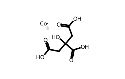 O=C(O)CC(O)(CC(=O)O)C(=O)O.[Co].[Ti]